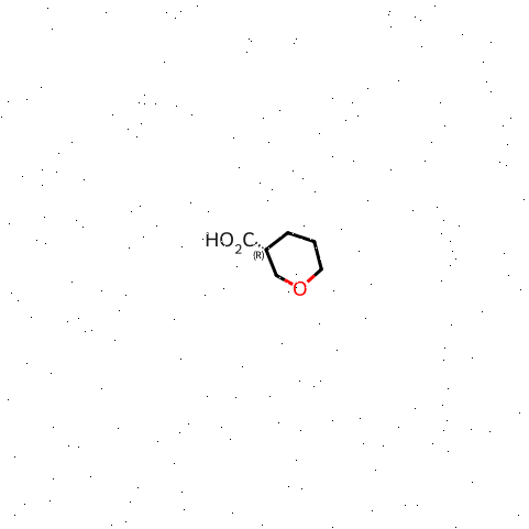 O=C(O)[C@@H]1CCCOC1